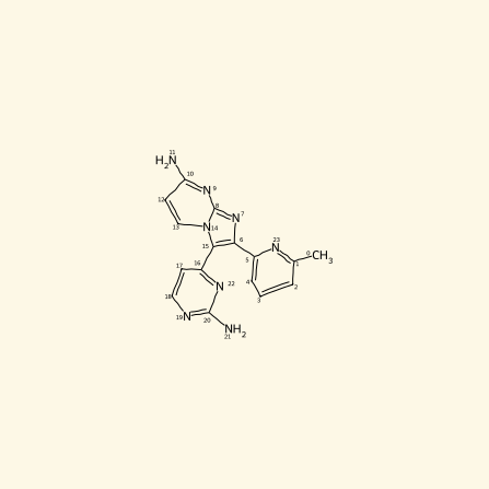 Cc1cccc(-c2nc3nc(N)ccn3c2-c2ccnc(N)n2)n1